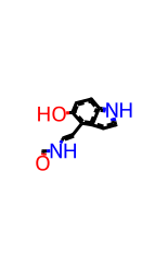 O=CNC=Cc1c(O)ccc2[nH]ccc12